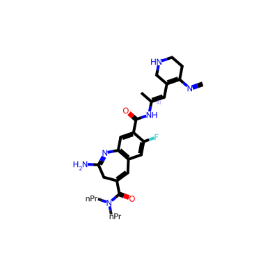 C=NC1=C(/C=C(\C)NC(=O)c2cc3c(cc2F)C=C(C(=O)N(CCC)CCC)CC(N)=N3)CNCC1